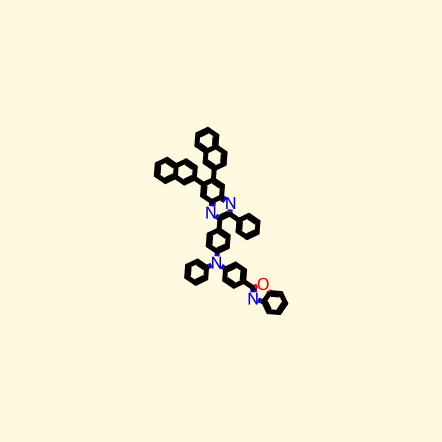 c1ccc(-c2nc3cc(-c4ccc5ccccc5c4)c(-c4ccc5ccccc5c4)cc3nc2-c2ccc(N(c3ccccc3)c3ccc(-c4nc5ccccc5o4)cc3)cc2)cc1